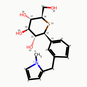 Cn1cccc1Cc1cccc([C@@H]2S[C@H](CO)[C@@H](O)[C@H](O)[C@H]2O)c1